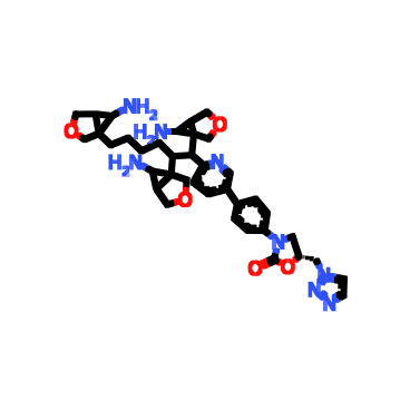 NC1C2COCC12CCCCC(C(c1ccc(-c2ccc(N3C[C@H](Cn4ccnn4)OC3=O)cc2)cn1)C12COCC1C2N)C12COCC1C2N